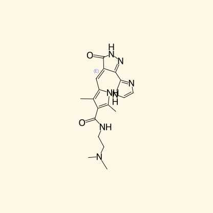 Cc1[nH]c(/C=C2/C(=O)NN=C2c2ncc[nH]2)c(C)c1C(=O)NCCN(C)C